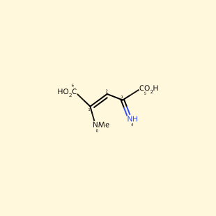 CN/C(=C\C(=N)C(=O)O)C(=O)O